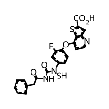 O=C(Cc1ccccc1)NC(=O)N(S)c1ccc(Oc2ccnc3cc(C(=O)O)sc23)c(F)c1